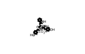 N[C@@H](Cc1ccc(O)cc1)C(=O)N[C@@H](Cc1c[nH]c2ccccc12)C(=O)N[C@@H](Cc1ccc(O)cc1)C(=O)O